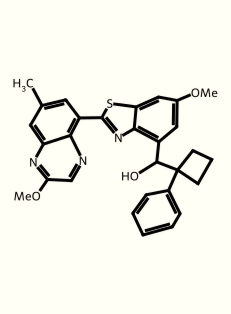 COc1cc(C(O)C2(c3ccccc3)CCC2)c2nc(-c3cc(C)cc4nc(OC)cnc34)sc2c1